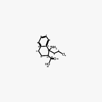 NC1(CCCl)c2ccccc2CCC1C(=O)O